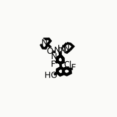 Oc1cc(-c2ccc3c(N4CC5CCC(C4)N5)nc(OCC45CCCN4CCC5)nc3c2F)c2c(Cl)c(F)ccc2c1